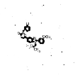 COc1cccc(-c2nc3cc(C4=NN(Cc5cccc(Cl)c5)C(=O)SC4)ccc3n2CC(C)C)c1